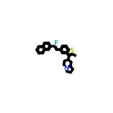 Cc1sc2ccc(C=C(F)c3ccc4ccccc4c3)cc2c1C1CCN2CCCC2C1